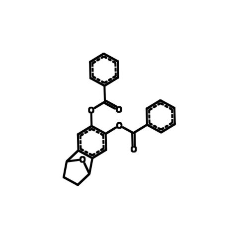 O=C(Oc1cc2c(cc1OC(=O)c1ccccc1)C1CCC2O1)c1ccccc1